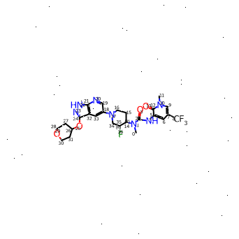 CN(C(=O)Nc1cc(C(F)(F)F)cn(C)c1=O)[C@@H]1CCN(c2cnc3[nH]nc(OC4CCOCC4)c3c2)C[C@H]1F